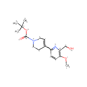 COc1ccc(C2=CCN(C(=O)OC(C)(C)C)CC2)nc1CO